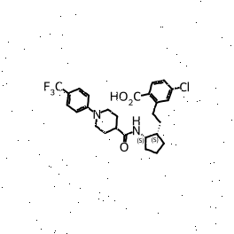 O=C(O)c1ccc(Cl)cc1CC[C@@H]1CCC[C@@H]1NC(=O)C1CCN(c2ccc(C(F)(F)F)cc2)CC1